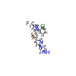 FC(F)(F)c1cc(-c2cc(-c3ccc(N4CCNCC4)nc3)cs2)n(-c2ccccc2Cl)n1